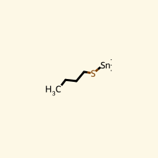 CCCC[S][Sn]